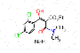 CCOC(=O)C(C(=O)N(C)C)=C(O)c1ccc(Cl)cc1Cl.[NaH]